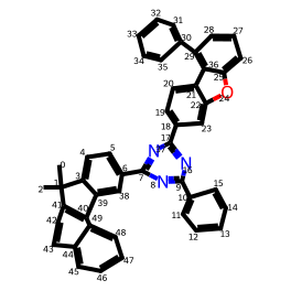 CC1(C)c2ccc(-c3nc(-c4ccccc4)nc(-c4ccc5c(c4)oc4cccc(-c6ccccc6)c45)n3)cc2-c2c1ccc1ccccc21